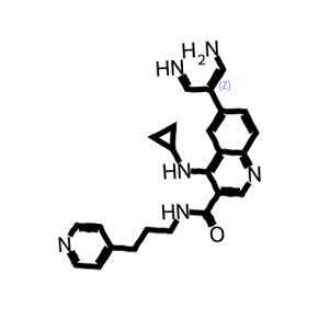 N=C/C(=C\N)c1ccc2ncc(C(=O)NCCCc3ccncc3)c(NC3CC3)c2c1